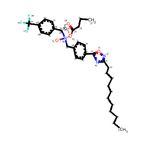 CCCCCCCCCCCc1noc(-c2ccc(C[N+]([O-])(OC(=O)CCC)[C@@H](C)c3ccc(C(F)(F)F)cc3)cc2)n1